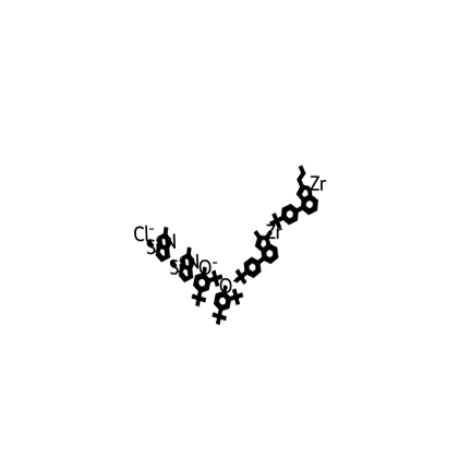 CC(C)(C)c1ccc([O-])c(C(C)(C)C)c1.CC(C)(C)c1ccc([O-])c(C(C)(C)C)c1.CC1=Cc2c(-c3ccc(C(C)(C)C)cc3)cccc2[CH]1[Zr].CC1=NC2=CC=C3C2=C1[Si]3(C)C.CC1=NC2=CC=C3C2=C1[Si]3(C)C.CCCC1=Cc2c(-c3ccc(C(C)(C)C)cc3)cccc2[CH]1[Zr].[Cl-]